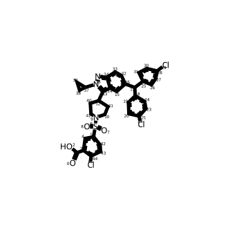 O=C(O)c1cc(S(=O)(=O)N2CCC(c3c4cc(C(c5ccc(Cl)cc5)c5ccc(Cl)cc5)ccc4nn3C3CC3)CC2)ccc1Cl